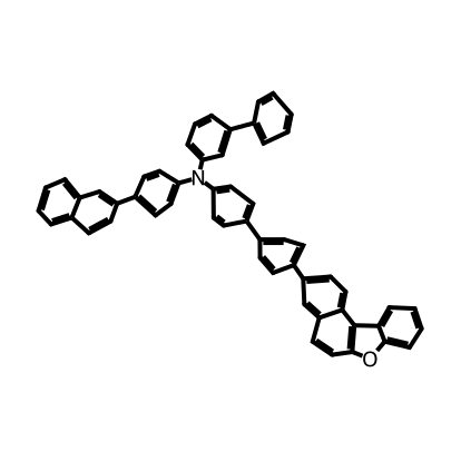 c1ccc(-c2cccc(N(c3ccc(-c4ccc(-c5ccc6c(ccc7oc8ccccc8c76)c5)cc4)cc3)c3ccc(-c4ccc5ccccc5c4)cc3)c2)cc1